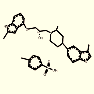 Cc1cc2c(OC[C@@H](O)CN3CCC(c4ccc5scc(C)c5c4)CC3C)cccc2[nH]1.Cc1ccc(S(=O)(=O)O)cc1